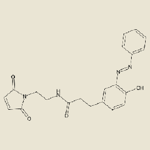 O=C(CCc1ccc(O)c(/N=N/c2ccccc2)c1)NCCN1C(=O)C=CC1=O